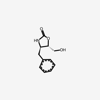 O=C1N[C@H](Cc2ccccc2)[C@@H](CO)O1